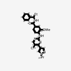 CCC(NC(=O)c1ccc(Nc2ncc(Cl)c(-c3cnn(C(C)C)c3)n2)c(OC)c1)c1ccccc1